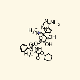 C/N=C/[C@@]1(c2ccc3c(N)ncnn23)O[C@H](COP(=O)(N[C@@H](C)C(=O)OC2CCCCC2)Oc2ccccc2)[C@@H](O)[C@H]1O